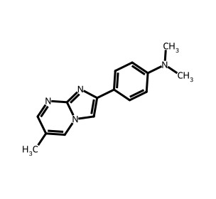 Cc1cnc2nc(-c3ccc(N(C)C)cc3)cn2c1